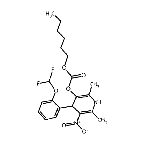 CCCCCCOC(=O)OC1=C(C)NC(C)=C([N+](=O)[O-])C1c1ccccc1OC(F)F